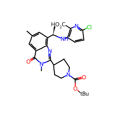 Cc1cc([C@@H](C)Nc2ccc(Cl)nc2C(=O)O)c2nc(C3CCN(C(=O)OC(C)(C)C)CC3)n(C)c(=O)c2c1